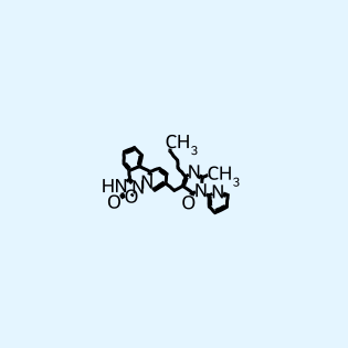 CCCCc1nc(C)n(-c2ccccn2)c(=O)c1Cc1ccc(-c2ccccc2-c2noc(=O)[nH]2)nc1